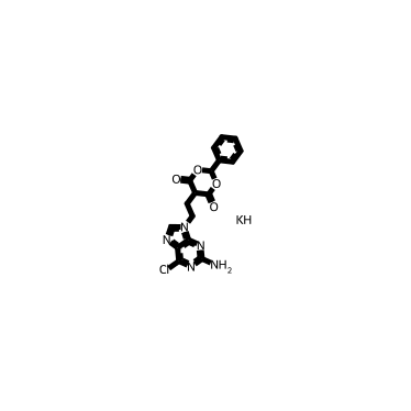 Nc1nc(Cl)c2ncn(CCC3C(=O)OC(c4ccccc4)OC3=O)c2n1.[KH]